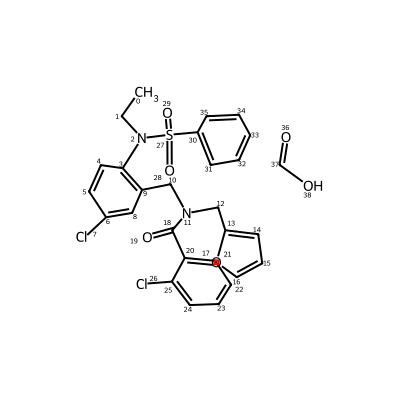 CCN(c1ccc(Cl)cc1CN(Cc1ccco1)C(=O)c1ccccc1Cl)S(=O)(=O)c1ccccc1.O=CO